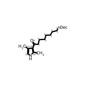 CCCCCCCCCCCCCCCCCC(=O)c1c(C)c[nH]c1C